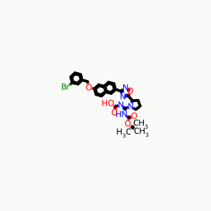 CC(C)(C)OC(=O)NC(=NC(=O)O)N1CCCC1c1nc(-c2ccc3cc(OCc4cccc(Br)c4)ccc3c2)no1